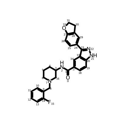 O=C(NC1CCCN(Cc2ccccc2F)C1)c1ccc2[nH]nc(-c3ccc4c(c3)CCO4)c2c1